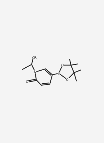 CC(n1cc(B2OC(C)(C)C(C)(C)O2)ccc1=O)C(F)(F)F